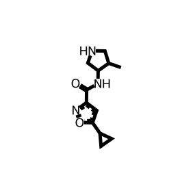 CC1CNCC1NC(=O)c1cc(C2CC2)on1